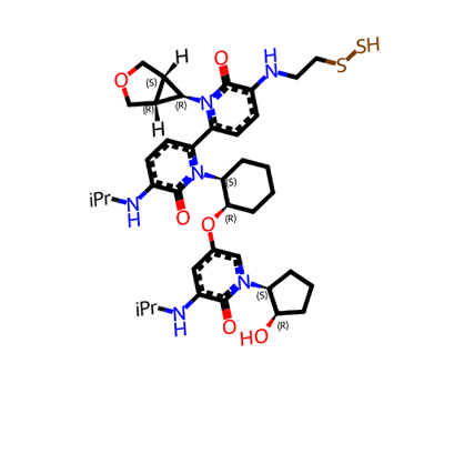 CC(C)Nc1cc(O[C@@H]2CCCC[C@@H]2n2c(-c3ccc(NCCSS)c(=O)n3[C@H]3[C@@H]4COC[C@@H]43)ccc(NC(C)C)c2=O)cn([C@H]2CCC[C@H]2O)c1=O